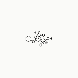 CC(=O)OC(CC(=O)O)(CC(=O)OC1CCCCC1)C(=O)O